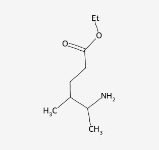 CCOC(=O)CCC(C)C(C)N